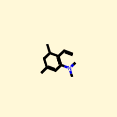 C=CC1=C(N(C)C)C=C(C)CC1C